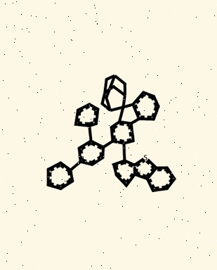 c1ccc(-c2ccc(-c3cc4c(cc3-c3cccc5c3sc3ccccc35)-c3ccccc3C43C4CC5CC(C4)CC3C5)c(-c3ccccc3)c2)cc1